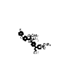 COC(=O)c1c(-c2ccc(Oc3ccc(F)cc3)cc2)nc(-c2ccc(C(CCO)C3CCN(C(=O)OC(C)(C)C)CC3)cc2)n1N